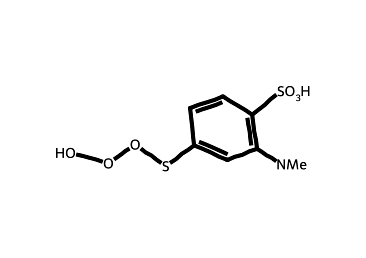 CNc1cc(SOOO)ccc1S(=O)(=O)O